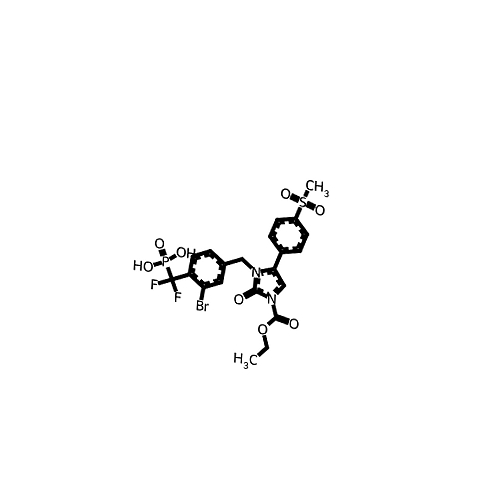 CCOC(=O)n1cc(-c2ccc(S(C)(=O)=O)cc2)n(Cc2ccc(C(F)(F)P(=O)(O)O)c(Br)c2)c1=O